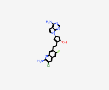 Nc1nc2cc(CCC3=C[C@@H](n4ccc5c(N)ncnc54)C[C@@H]3O)c(F)cc2cc1Cl